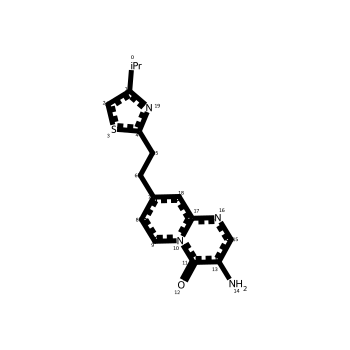 CC(C)c1csc(CCc2ccn3c(=O)c(N)cnc3c2)n1